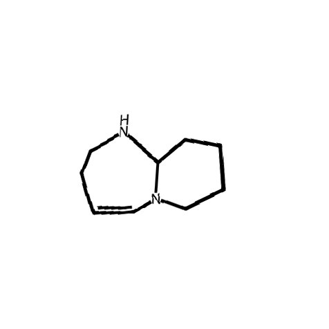 C1=CN2CCCCC2NCC1